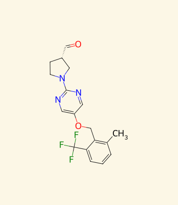 Cc1cccc(C(F)(F)F)c1COc1cnc(N2CC[C@H](C=O)C2)nc1